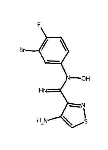 N=C(c1nscc1N)N(O)c1ccc(F)c(Br)c1